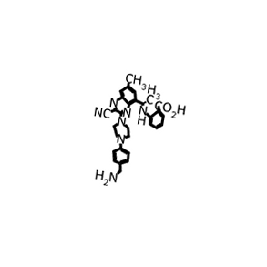 Cc1cc([C@@H](C)Nc2ccccc2C(=O)O)c2nc(N3CCN(c4ccc(CN)cc4)CC3)c(C#N)nc2c1